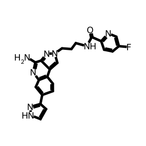 Nc1nc2cc(-c3cc[nH]n3)ccc2c2cn(CCCNC(=O)c3ccc(F)cn3)nc12